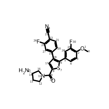 COc1ccc(-c2sc(C(=O)N3CC[C@H](N)C3)cc2-c2ccc(C#N)c(F)c2)cc1F